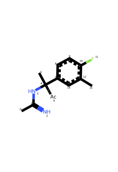 CC(=N)NC(C)(C(C)=O)c1ccc(F)c(C)c1